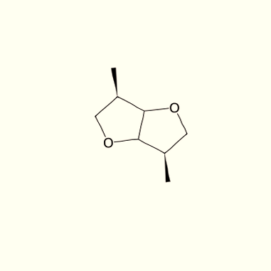 C[C@@H]1COC2C1OC[C@H]2C